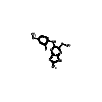 CCCOc1nc2[nH]c(C(F)(F)F)nc2nc1Nc1ccc(OC(F)(F)F)cc1F